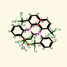 CCCC(P(c1ccccc1C(F)(F)F)c1ccccc1C(F)(F)F)P(c1ccccc1C(F)(F)F)c1ccccc1C(F)(F)F